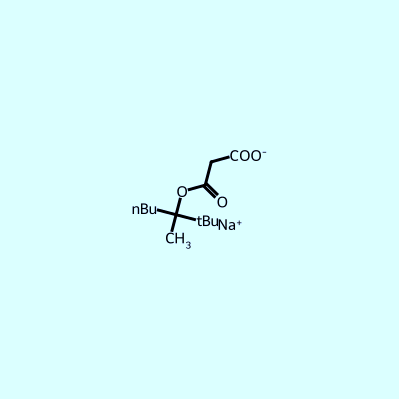 CCCCC(C)(OC(=O)CC(=O)[O-])C(C)(C)C.[Na+]